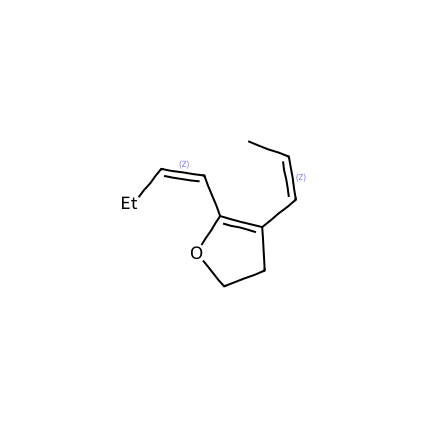 C/C=C\C1=C(/C=C\CC)OCC1